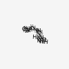 O=c1[nH]cnc2[nH]c(-c3ccnc(C=Cc4cccc(CN5CCOCC5)c4)c3)cc12